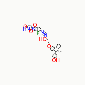 CCC(=C(c1ccc(O)cc1)c1ccc(OCCCC(O)CN2CCN(c3ccc4c(c3F)CN(C3CCC(=O)NC3=O)C4=O)CC2)cc1)c1ccccc1